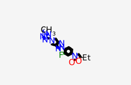 CC[C@H]1CN(c2ccc(-n3nc4c(n3)CN(c3nnn(C)n3)C4)c(F)c2)C(=O)O1